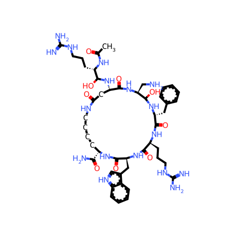 CC(=O)N[C@@H](CCCNC(=N)N)C(O)N[C@H]1CC(=O)NCCCC[C@@H](C(N)=O)NC(=O)[C@H](Cc2c[nH]c3ccccc23)NC(=O)[C@H](CCCNC(=N)N)NC(=O)[C@@H](Cc2ccccc2)NC(O)[C@H](CN)NC1=O